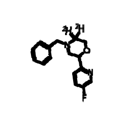 [2H]C1([2H])COC(c2ccc(F)cn2)CN1Cc1ccccc1